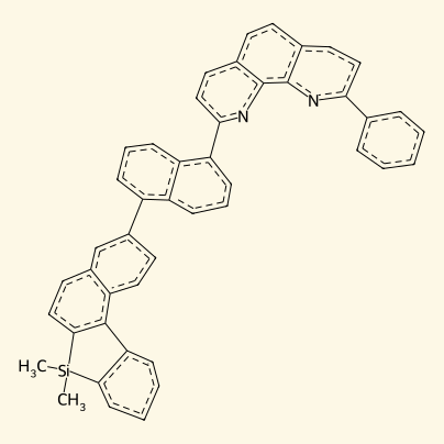 C[Si]1(C)c2ccccc2-c2c1ccc1cc(-c3cccc4c(-c5ccc6ccc7ccc(-c8ccccc8)nc7c6n5)cccc34)ccc21